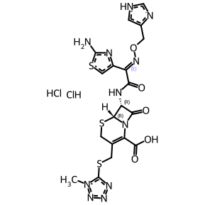 Cl.Cl.Cn1nnnc1SCC1=C(C(=O)O)N2C(=O)[C@@H](NC(=O)/C(=N/OCc3c[nH]cn3)c3csc(N)n3)[C@H]2SC1